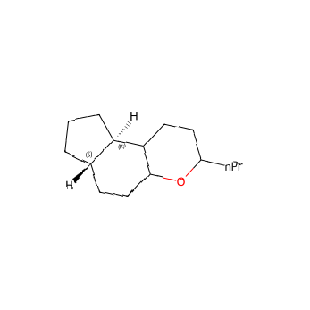 CCCC1CCC2C(CC[C@@H]3CCC[C@@H]23)O1